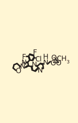 CS(=O)(=O)OCCNc1cnc2ccc(-c3cn(C4CCCCO4)nc3-c3cc(Cl)c(F)cc3F)nc2c1